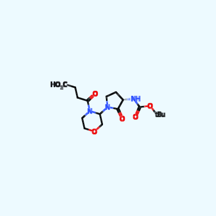 CC(C)(C)OC(=O)N[C@H]1CCN(C2COCCN2C(=O)CCC(=O)O)C1=O